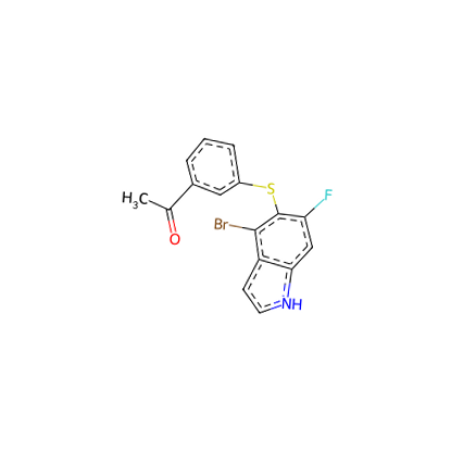 CC(=O)c1cccc(Sc2c(F)cc3[nH]ccc3c2Br)c1